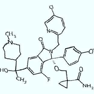 CN1CCC(C(C)(O)c2cc(F)c3c(c2)C(=O)N(Cc2ccc(Cl)cn2)[C@@]3(OCC2(C(N)=O)CC2)c2ccc(Cl)cc2)CC1